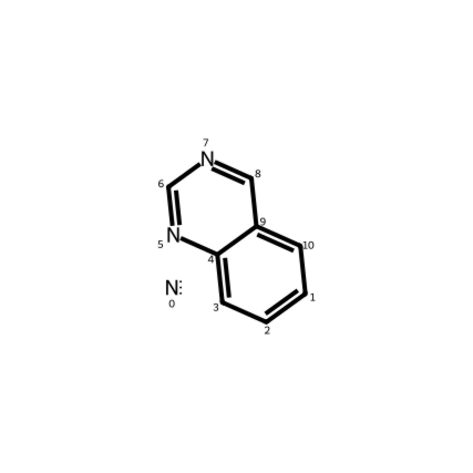 [N].c1ccc2ncncc2c1